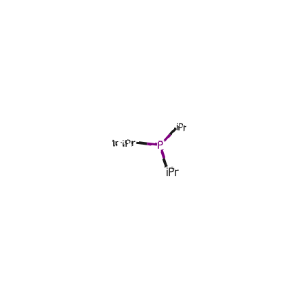 CC(C)P(C(C)C)C(C)C.[Ir]